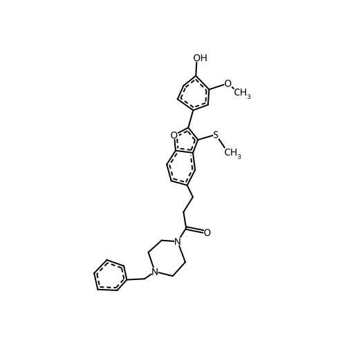 COc1cc(-c2oc3ccc(CCC(=O)N4CCN(Cc5ccccc5)CC4)cc3c2SC)ccc1O